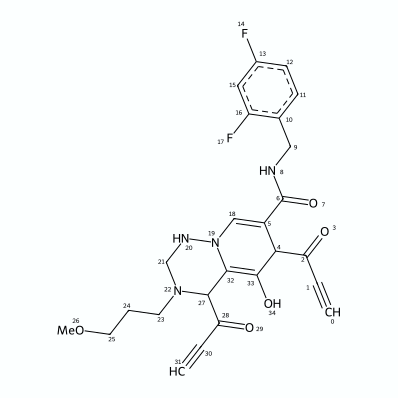 C#CC(=O)C1C(C(=O)NCc2ccc(F)cc2F)=CN2NCN(CCCOC)C(C(=O)C#C)C2=C1O